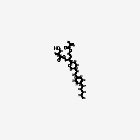 C=C(C)C(=O)OCCC(COC(=O)C(=C)CO)C1CCC(CCc2ccc(CCCCC)cc2)CO1